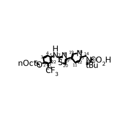 CCCCCCCCOc1ccc(Nc2nc(-c3ccc(CN(C(=O)O)C(C)(C)C)nc3)cs2)cc1C(F)(F)F